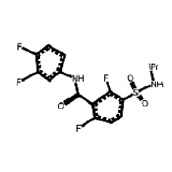 CC(C)NS(=O)(=O)c1ccc(F)c(C(=O)Nc2ccc(F)c(F)c2)c1F